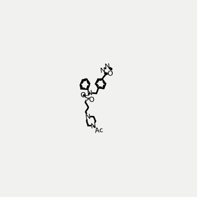 CC(=O)N1CCN(CCCS(=O)(=O)N(Cc2ccc(-c3nnco3)cc2)c2ccccc2)CC1